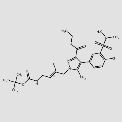 CCOC(=O)c1nn(C/C(F)=C/CNC(=O)OC(C)(C)C)c(C)c1-c1ccc(Cl)c(S(=O)(=O)N(C)C)c1